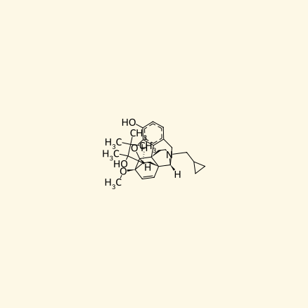 CO[C@]12C=C[C@@]3(C[C@@H]1C(C)(O)C(C)(C)C)[C@H]1Cc4ccc(O)c5c4[C@@]3(CCN1CC1CC1)[C@H]2O5